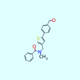 CN(Cc1csc(-c2ccc(C=O)cc2)c1)C(=O)c1ccccc1